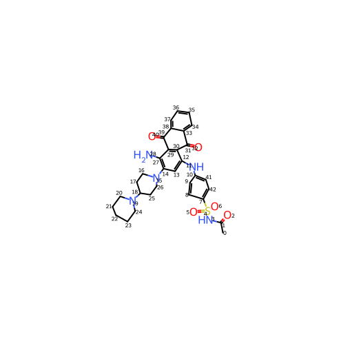 CC(=O)NS(=O)(=O)c1ccc(Nc2cc(N3CCC(N4CCCCC4)CC3)c(N)c3c2C(=O)c2ccccc2C3=O)cc1